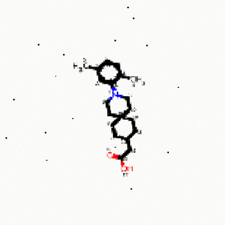 Cc1ccc(C)c(N2CCC3(CCC(CC(=O)O)CC3)CC2)c1